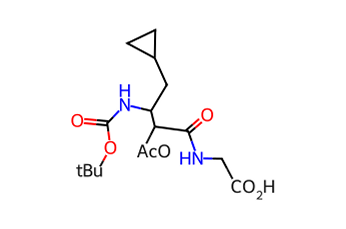 CC(=O)OC(C(=O)NCC(=O)O)C(CC1CC1)NC(=O)OC(C)(C)C